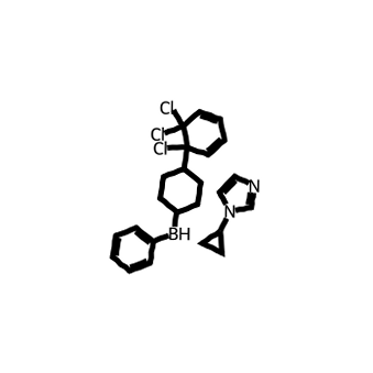 ClC1(Cl)C=CC=CC1(Cl)C1CCC(Bc2ccccc2)CC1.c1cn(C2CC2)cn1